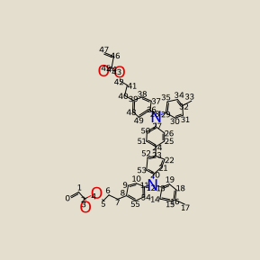 C=CC(=O)OCCCc1ccc(N(c2ccc(C)cc2)c2ccc(-c3ccc(N(c4ccc(C)cc4)c4ccc(CCCOC(=O)C=C)cc4)cc3)cc2)cc1